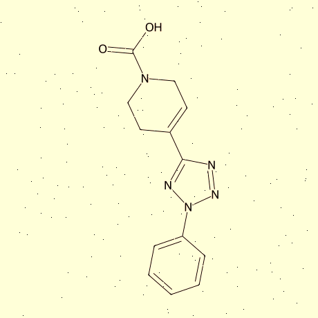 O=C(O)N1CC=C(c2nnn(-c3ccccc3)n2)CC1